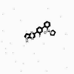 [O-][S+](c1ccccc1-c1ccc(-c2cnc3[nH]ccc3n2)c(F)c1)N1CCCC1